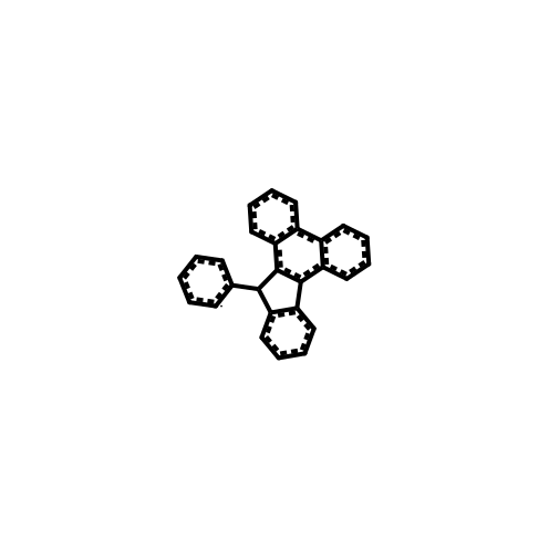 [c]1ccccc1C1c2ccccc2-c2c1c1ccccc1c1ccccc21